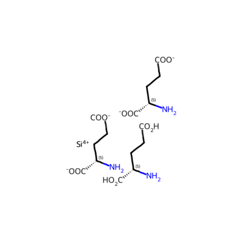 N[C@@H](CCC(=O)O)C(=O)O.N[C@@H](CCC(=O)[O-])C(=O)[O-].N[C@@H](CCC(=O)[O-])C(=O)[O-].[Si+4]